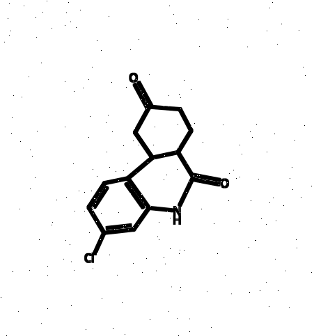 O=C1CCC2C(=O)Nc3cc(Cl)ccc3C2C1